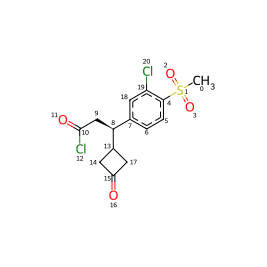 CS(=O)(=O)c1ccc([C@H](CC(=O)Cl)C2CC(=O)C2)cc1Cl